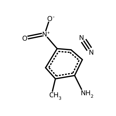 Cc1cc([N+](=O)[O-])ccc1N.N#N